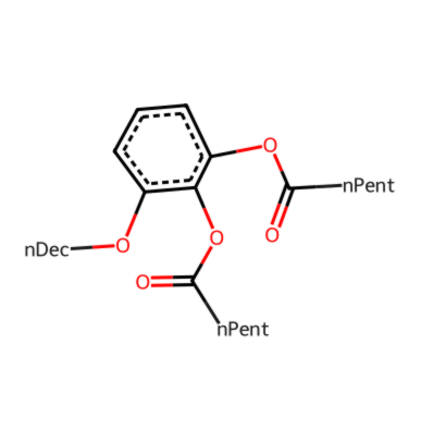 CCCCCCCCCCOc1cccc(OC(=O)CCCCC)c1OC(=O)CCCCC